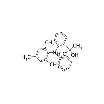 Cc1cc(C)c(N(c2ccccc2)c2ccccc2C(C)(C)O)c(C)c1